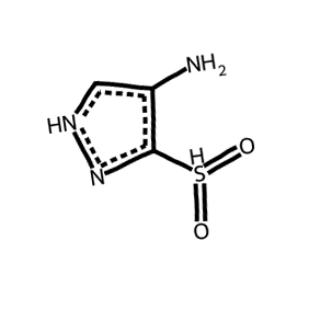 Nc1c[nH]nc1[SH](=O)=O